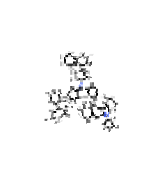 c1ccc(-n2c3ccccc3c3c(-c4cccc(N(c5ccc(-c6cccc7ccccc67)cc5)c5ccc(-c6cc7ccccc7c7ccccc67)cc5)c4)c4ccccc4cc32)cc1